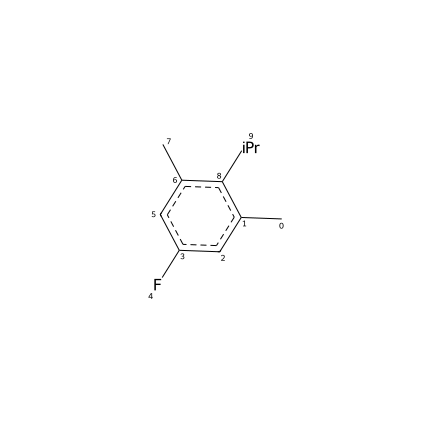 Cc1cc(F)cc(C)c1C(C)C